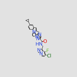 Cn1c(Cn2cc(C(=O)NCc3ncn4ccc(Cl)c(F)c34)nn2)cc2cc(C3CC3)ccc21